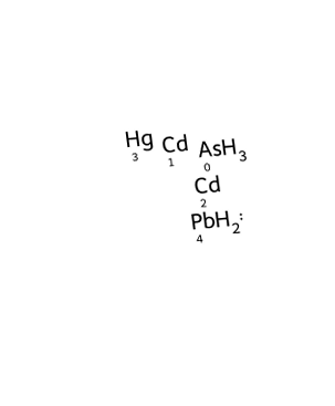 [AsH3].[Cd].[Cd].[Hg].[PbH2]